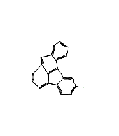 Clc1ccc2c(c1)-c1c3ccccc3cc3cccc-2c13